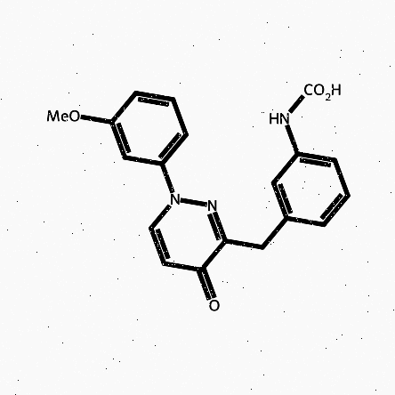 COc1cccc(-n2ccc(=O)c(Cc3cccc(NC(=O)O)c3)n2)c1